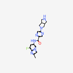 Cc1cn2cc(NC(=O)c3cnc(N4CC5CNCC5C4)cn3)cc(F)c2n1